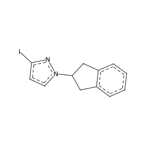 Ic1ccn(C2Cc3ccccc3C2)n1